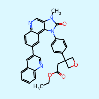 CCOC(=O)CC1(c2ccc(-n3c(=O)n(C)c4cnc5ccc(-c6cnc7ccccc7c6)cc5c43)cc2)COC1